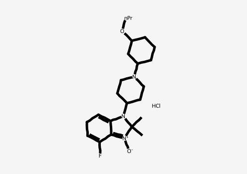 CCCOC1CCCC(N2CCC(N3C4=CCC=C(F)C4=[N+]([O-])C3(C)C)CC2)C1.Cl